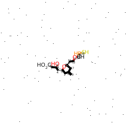 C=C1C[C@H](C[C@@H](O)CC(=O)O)O[C@@H](CCOBPS)C1